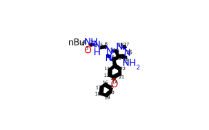 CCCCNC(=O)NCCn1nc(-c2ccc(Oc3ccccc3)cc2)c2c(N)ncnc21